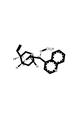 C=C[C@H]1CN2CC[C@H]1C[C@H]2[C@H](OC(=O)O)c1ccnc2ccccc12